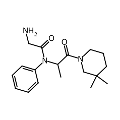 CC(C(=O)N1CCCC(C)(C)C1)N(C(=O)CN)c1ccccc1